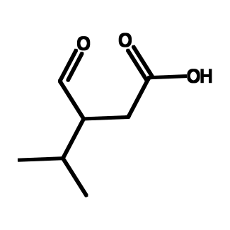 CC(C)C(C=O)CC(=O)O